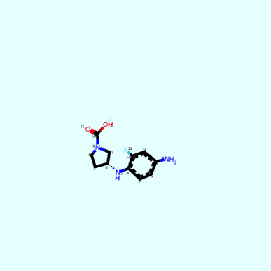 Nc1ccc(N[C@@H]2CCN(C(=O)O)C2)c(F)c1